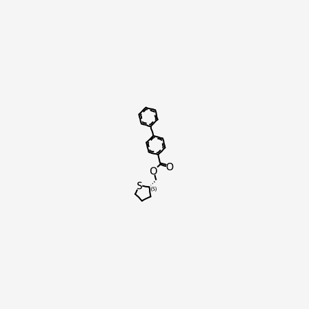 O=C(OC[C@@H]1CCCS1)c1ccc(-c2ccccc2)cc1